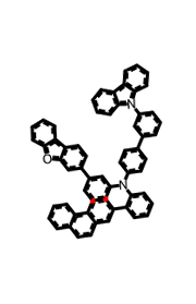 c1cc(-c2ccc3c(c2)oc2ccccc23)cc(N(c2ccc(-c3cccc(-n4c5ccccc5c5ccccc54)c3)cc2)c2ccccc2-c2ccc3c(ccc4ccccc43)c2)c1